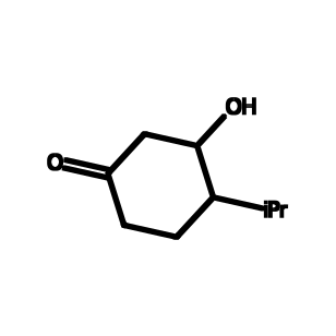 CC(C)C1CCC(=O)CC1O